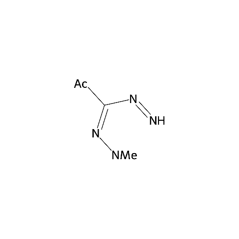 CN/N=C(\N=N)C(C)=O